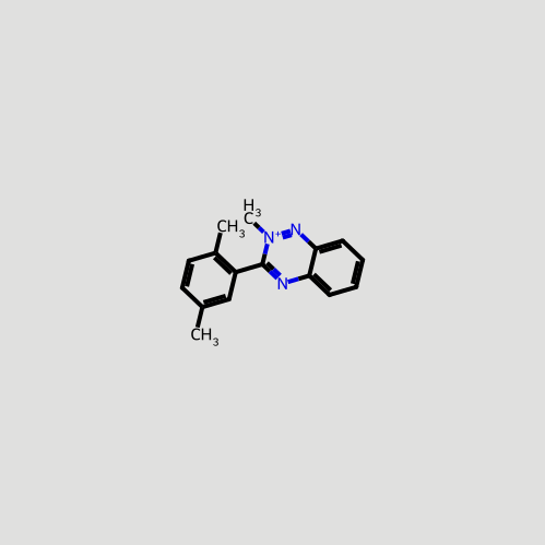 Cc1ccc(C)c(-c2nc3ccccc3n[n+]2C)c1